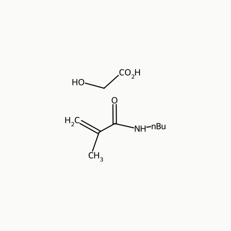 C=C(C)C(=O)NCCCC.O=C(O)CO